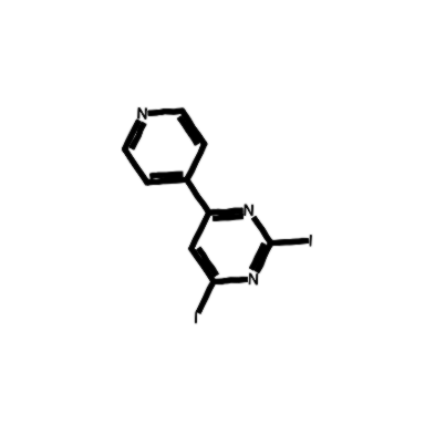 Ic1cc(-c2ccncc2)nc(I)n1